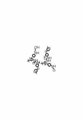 COCCNc1ccc(-n2nc(C(C)(C)C)cc2NC(=O)Nc2ccc(Oc3ccnc(C)c3)cc2F)cc1.Cc1cc(Oc2ccc(NC(=O)Nc3cc(C(C)(C)C)nn3-c3ccc(NCCCO)cc3)c(F)c2)ccn1